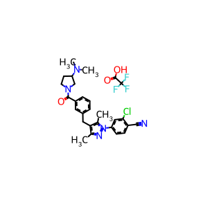 Cc1nn(-c2ccc(C#N)c(Cl)c2)c(C)c1Cc1cccc(C(=O)N2CCC(N(C)C)C2)c1.O=C(O)C(F)(F)F